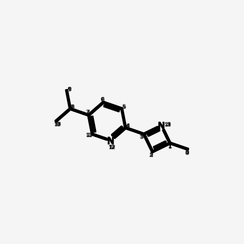 CC1=CC(c2ccc(C(C)C)cn2)=N1